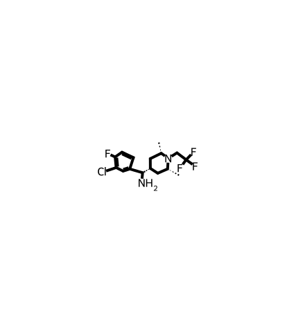 C[C@@H]1C[C@H](C(N)c2ccc(F)c(Cl)c2)C[C@H](C)N1CC(F)(F)F